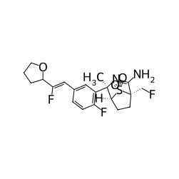 C[C@]1(c2cc(/C=C(\F)C3CCCO3)ccc2F)N=C(N)[C@@]2(CF)CC[C@@H]1S2(=O)=O